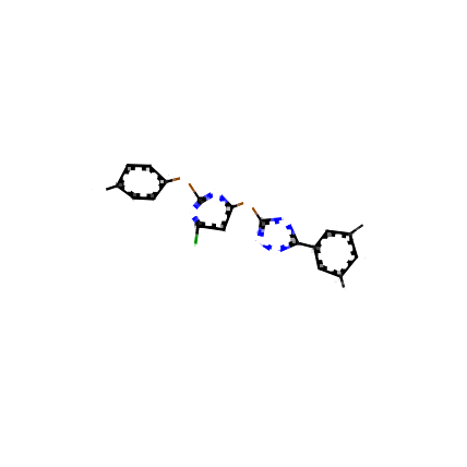 Cc1ccc(Sc2nc(Cl)cc(Sc3nc(-c4cc(C(F)(F)F)cc(C(F)(F)F)c4)n[nH]3)n2)cc1